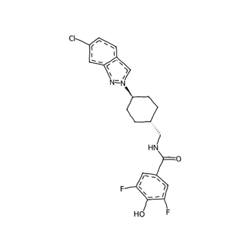 O=C(NC[C@H]1CC[C@H](n2cc3ccc(Cl)cc3n2)CC1)c1cc(F)c(O)c(F)c1